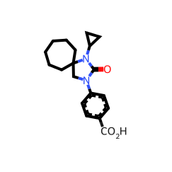 O=C(O)c1ccc(N2CC3(CCCCCC3)N(C3CC3)C2=O)cc1